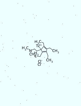 CCC1=C(CC)[C]([Ti+2])(CCN(C)C)C(CC)=C1CC.[Cl-].[Cl-]